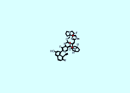 C#Cc1c(F)ccc2cc(O)cc(-c3ncc4c(N5C[C@H]6CC[C@@H](C5)N6C(=O)/C(F)=C/c5nccn5C)nc(OC[C@@]56CCCN5C[C@H](F)C6)nc4c3F)c12